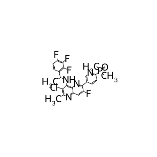 Cc1nc2cc(F)c(-c3ccc(P(C)(C)=O)nc3)nc2c(N[C@@H](C)c2ccc(F)c(F)c2F)c1Cl